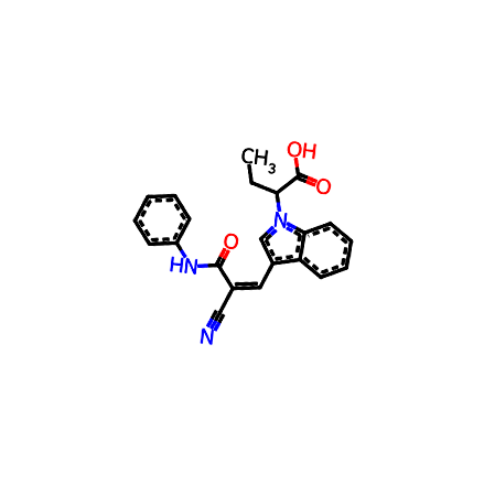 CCC(C(=O)O)n1cc(C=C(C#N)C(=O)Nc2ccccc2)c2ccccc21